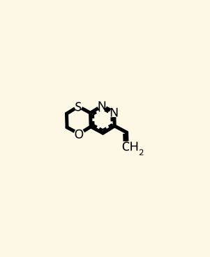 C=Cc1cc2c(nn1)SCCO2